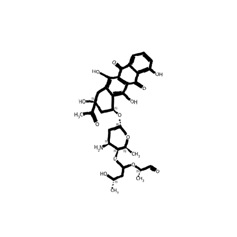 CC(=O)[C@]1(O)Cc2c(O)c3c(c(O)c2[C@@H](O[C@H]2C[C@H](N)[C@H](OC(C[C@H](C)O)O[C@@H](C)C=O)[C@H](C)O2)C1)C(=O)c1c(O)cccc1C3=O